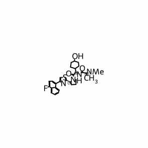 CN[C@@H](C)C(=O)N[C@H](C(=O)N1CCC[C@H]1c1nc(-c2ccc(F)c3ccccc23)cs1)C1CCC(O)CC1